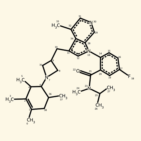 CC1=C(C)C(C)C(N2CC(Cc3cn(-c4ccc(F)cc4C(=O)N(C)C(C)C)c4cncc(C)c34)C2)C(C)C1